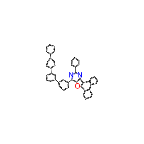 c1ccc(-c2ccc(-c3cccc(-c4cccc(-c5nc(-c6ccccc6)nc6c5oc5c7ccccc7c7ccccc7c65)c4)c3)cc2)cc1